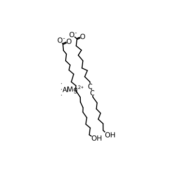 O=C([O-])CCCCCCCCCCCCCCCCCO.O=C([O-])CCCCCCCCCCCCCCCCCO.[Al].[Mg+2]